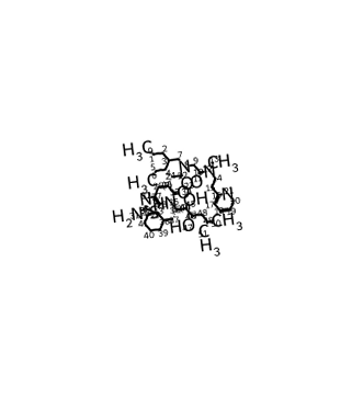 CCCC(CCC)CN(CC(=O)N(C)CCc1ccccn1)C(=O)C[C@@H](Cc1csc(N)n1)C(=O)N[C@@H](CC1CCCCC1)[C@@H](O)[C@@H](O)CC(C)C